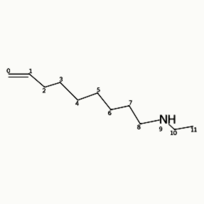 C=CCCCCCCCNCC